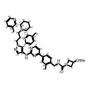 COC1CN(C(=O)NCc2ccc(-c3ccnc(Nc4cnn(CCCN5[C@@H](c6ncccc6C)CCC[C@H]5c5ncccc5C)c4)n3)cc2C)C1